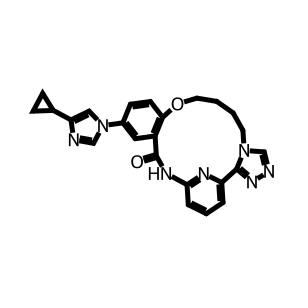 O=C1Nc2cccc(n2)-c2nncn2CCCCOc2ccc(-n3cnc(C4CC4)c3)cc21